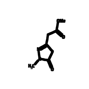 COC(=O)CC1=NN(C)C(=O)C1